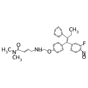 CC/C(=C(/c1ccc(OCCNC/C=C/C(=O)N(C)C)cc1)c1ccc(N=O)c(F)c1)c1ccccc1